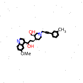 COc1ccc2nccc([C@H](O)CC[C@@H]3CCN(CC#Cc4cccc(C)c4)C[C@@H]3CO)c2c1